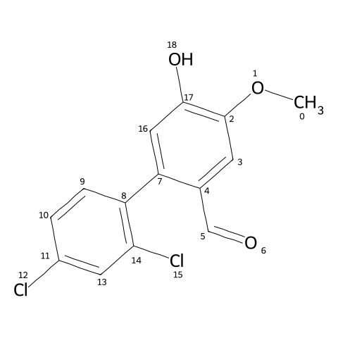 COc1cc(C=O)c(-c2ccc(Cl)cc2Cl)cc1O